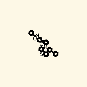 c1ccc(-c2ccc(N(c3cccc4c3oc3cc5oc(-c6ccccc6)nc5cc34)c3cccc4sc5ccccc5c34)cc2)cc1